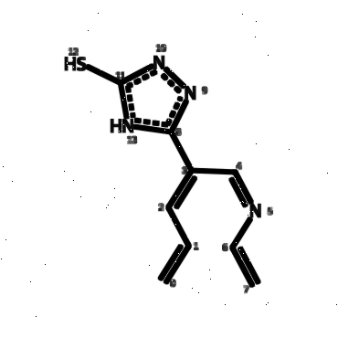 C=C/C=C(\C=N/C=C)c1nnc(S)[nH]1